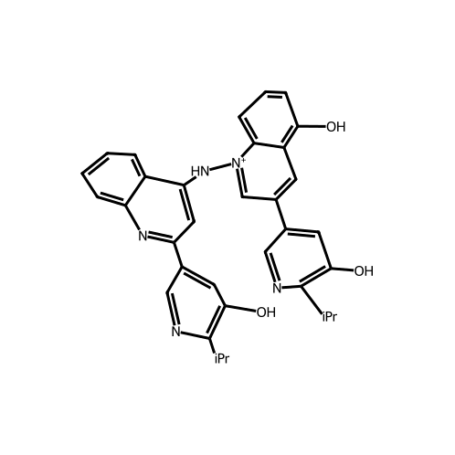 CC(C)c1ncc(-c2cc3c(O)cccc3[n+](Nc3cc(-c4cnc(C(C)C)c(O)c4)nc4ccccc34)c2)cc1O